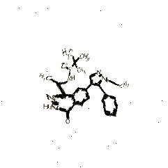 CC(N[S+]([O-])C(C)(C)C)c1n[nH]c(=O)c2ccc(-c3cnn(C)c3-c3ccccc3)cc12